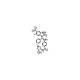 COC(=O)c1cc2c(cc1C)/C(=C(/Nc1ccc(C(=O)N(C)C3CN(C)C[C@@H]3O)cc1)c1ccccc1)C(=O)N2